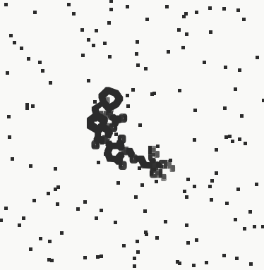 C[Si](C)(C)CCOCN1C(=O)CCC(N2Cc3cc(C[C@H]4CCCCC[C@@H]4NC(=O)O)ccc3C2=O)C1=O